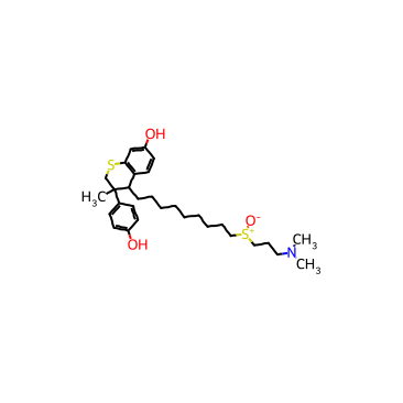 CN(C)CCC[S+]([O-])CCCCCCCCCC1c2ccc(O)cc2SCC1(C)c1ccc(O)cc1